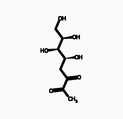 CC(=O)C(=O)C[C@@H](O)[C@@H](O)[C@H](O)CO